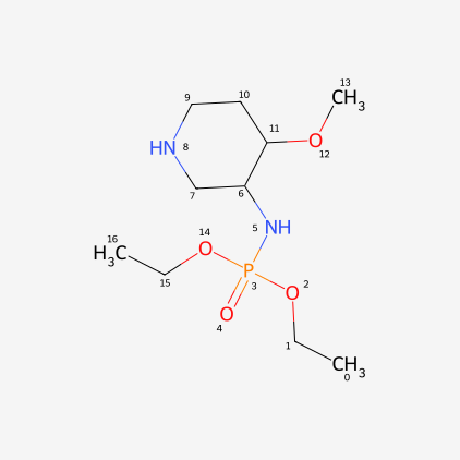 CCOP(=O)(NC1CNCCC1OC)OCC